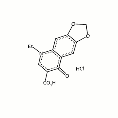 CCn1cc(C(=O)O)c(=O)c2cc3c(cc21)OCO3.Cl